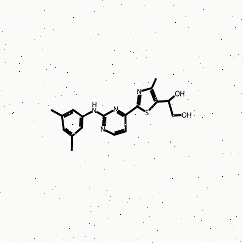 Cc1cc(C)cc(Nc2nccc(-c3nc(C)c(C(O)CO)s3)n2)c1